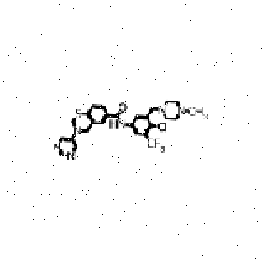 CN1CCN(Cc2cc(NC(=O)c3ccc4c(c3)CN(c3cncnc3)CS4)cc(C(F)(F)F)c2Cl)CC1